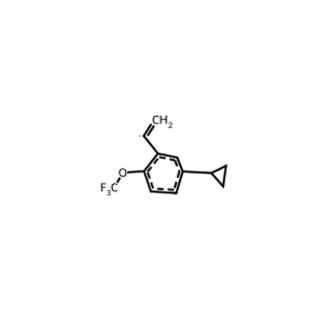 C=[C]c1cc(C2CC2)ccc1OC(F)(F)F